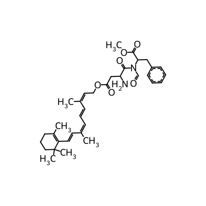 COC(=O)C(Cc1ccccc1)N(C=O)C(=O)C(N)CC(=O)OCC=C(C)C=CC=C(C)C=CC1=C(C)CCCC1(C)C